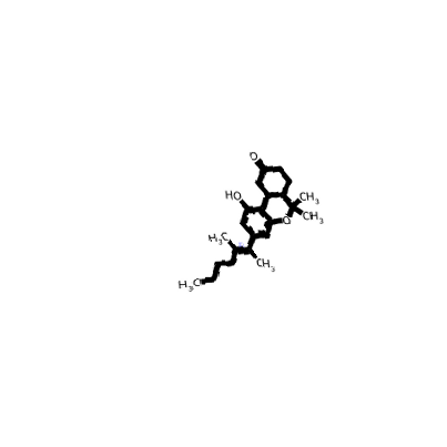 CCCC/C(C)=C(\C)c1cc(O)c2c(c1)OC(C)(C)C1CCC(=O)CC21